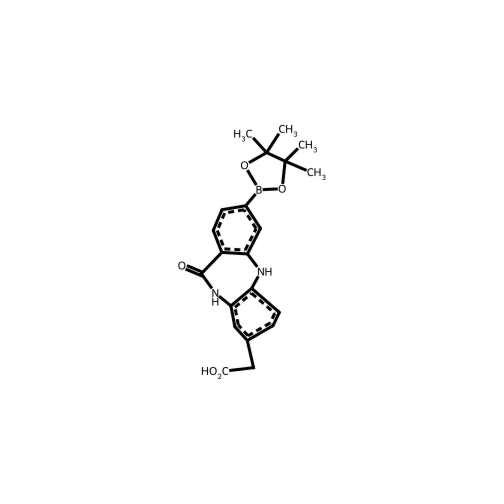 CC1(C)OB(c2ccc3c(c2)Nc2ccc(CC(=O)O)cc2NC3=O)OC1(C)C